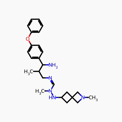 CC(C/N=C\N(C)NC1CC2(C1)CN(C)C2)C(N)c1ccc(Oc2ccccc2)cc1